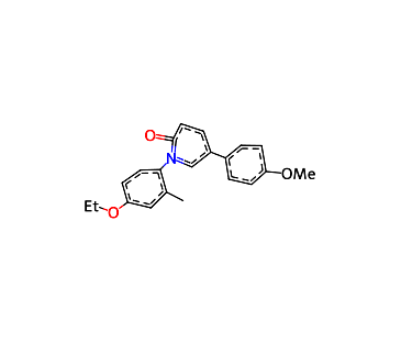 CCOc1ccc(-n2cc(-c3ccc(OC)cc3)ccc2=O)c(C)c1